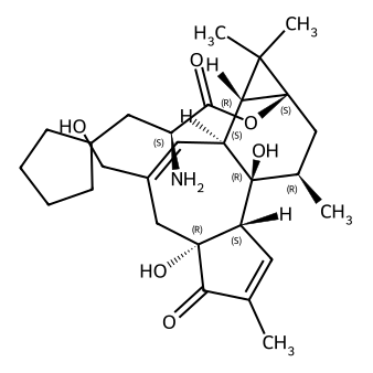 CC1=C[C@H]2[C@@]3(O)[C@H](C)C[C@]4(OC(=O)[C@@H](N)CC5CCCC5)[C@H]([C@@H]3C=C(CO)C[C@]2(O)C1=O)C4(C)C